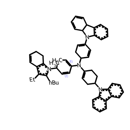 C/C=C(\C=C/C(C)n1c2c(c(CC)c1CCCC)C=CCC2)N(C1=CCC(n2c3ccccc3c3ccccc32)CC1)C1C=CC(N2c3ccccc3C3C=CC=CC32)=CC1